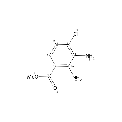 COC(=O)c1cnc(Cl)c(N)c1N